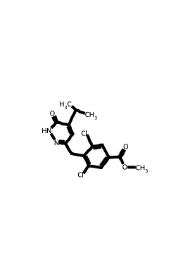 COC(=O)c1cc(Cl)c(Cc2cc(C(C)C)c(=O)[nH]n2)c(Cl)c1